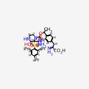 CC(C)c1cc(C(C)C)c(S(=O)(=O)C2(C(=N)N)C(O)NCCN2C(=O)OC(C)c2ccc(C[C@H](N)C(=O)O)cc2)c(C(C)C)c1